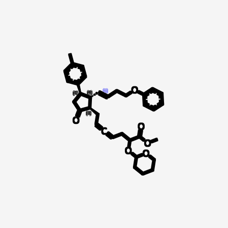 COC(=O)C(CC=C=CC[C@H]1C(=O)C[C@@H](c2ccc(C)cc2)[C@@H]1/C=C/CCOc1ccccc1)OC1CCCCO1